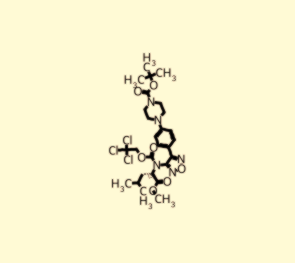 COC(=O)[C@H](CC(C)C)N(C(=O)OCC(Cl)(Cl)Cl)c1nonc1-c1ccc(N2CCN(C(=O)OC(C)(C)C)CC2)cc1